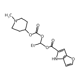 CCC(OC(=O)OC1CCN(C)CC1)OC(=O)c1cc2occc2[nH]1